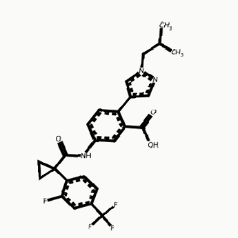 CC(C)Cn1cc(-c2ccc(NC(=O)C3(c4ccc(C(F)(F)F)cc4F)CC3)cc2C(=O)O)cn1